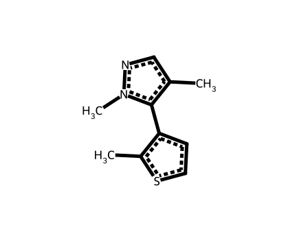 Cc1cnn(C)c1-c1ccsc1C